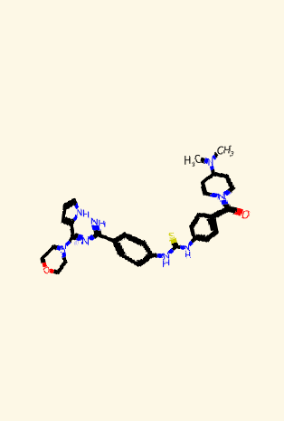 CN(C)C1CCN(C(=O)c2ccc(NC(=S)Nc3ccc(C(=N)/N=C(\c4ccc[nH]4)N4CCOCC4)cc3)cc2)CC1